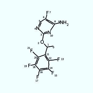 CC(Oc1ncc(F)c(N)n1)c1c(F)c(F)c(F)c(F)c1F